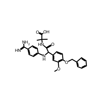 COc1cc(C(Nc2ccc(C(=N)N)cc2)C(=O)NC(C)(C)C(=O)O)ccc1OCc1ccccc1